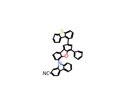 N#Cc1ccc2c3ccccc3n(-c3cccc4c3oc3c(-c5ccccc5)cc(-c5cccc6sc7ccccc7c56)cc34)c2c1